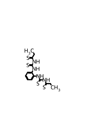 CCC(=S)NC(=S)Nc1ccccc1NC(=S)NC(=S)CC